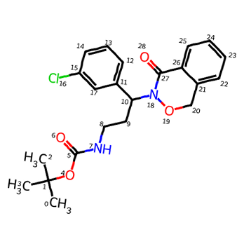 CC(C)(C)OC(=O)NCCC(c1cccc(Cl)c1)N1OCc2ccccc2C1=O